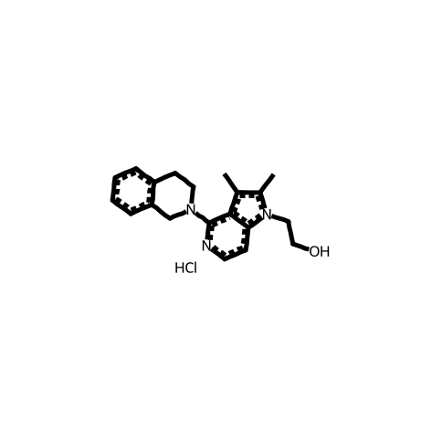 Cc1c(C)n(CCO)c2ccnc(N3CCc4ccccc4C3)c12.Cl